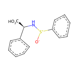 O=C(O)[C@@H](N[S+]([O-])c1ccccc1)c1ccccc1